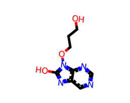 OCCCOn1c(O)nc2cncnc21